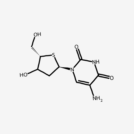 Nc1cn([C@H]2CC(O)[C@H](CO)S2)c(=O)[nH]c1=O